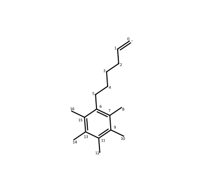 [CH]=CCCCCc1c(C)c(C)c(C)c(C)c1C